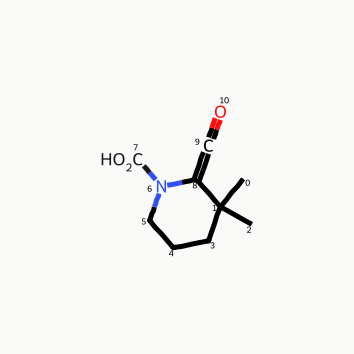 CC1(C)CCCN(C(=O)O)C1=C=O